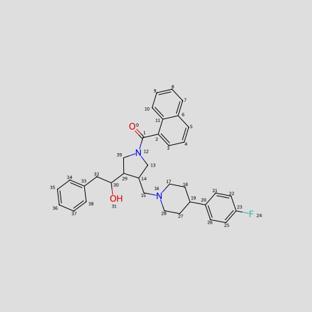 O=C(c1cccc2ccccc12)N1CC(CN2CCC(c3ccc(F)cc3)CC2)C(C(O)Cc2ccccc2)C1